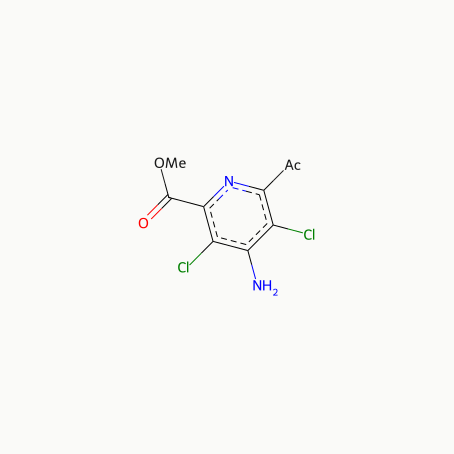 COC(=O)c1nc(C(C)=O)c(Cl)c(N)c1Cl